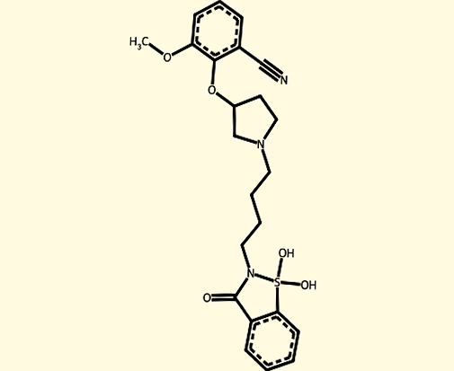 COc1cccc(C#N)c1OC1CCN(CCCCN2C(=O)c3ccccc3S2(O)O)C1